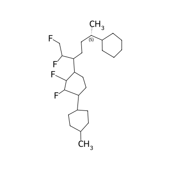 CC1CCC(C2CCC(C(CC[C@H](C)C3CCCCC3)C(F)CF)C(F)C2F)CC1